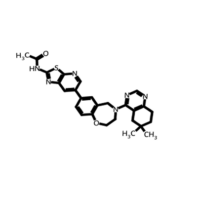 CC(=O)Nc1nc2cc(-c3ccc4c(c3)CN(c3ncnc5c3CC(C)(C)CC5)CCO4)cnc2s1